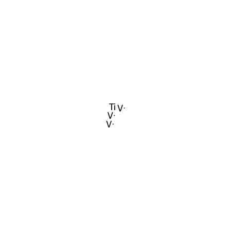 [Ti].[V].[V].[V]